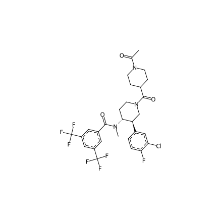 CC(=O)N1CCC(C(=O)N2CC[C@@H](N(C)C(=O)c3cc(C(F)(F)F)cc(C(F)(F)F)c3)[C@H](c3ccc(F)c(Cl)c3)C2)CC1